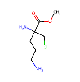 COC(=O)C(N)(CCl)CCCN